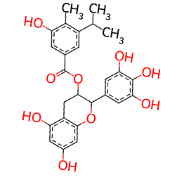 Cc1c(O)cc(C(=O)OC2Cc3c(O)cc(O)cc3OC2c2cc(O)c(O)c(O)c2)cc1C(C)C